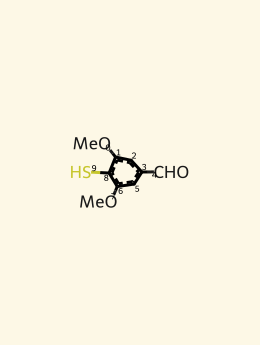 COc1cc(C=O)cc(OC)c1S